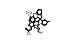 CC1(C)/C(=C(/C#N)C2=[N+](CCC(=O)O)c3ccc(Cl)cc3C2(Cc2ccccc2)Cc2ccccc2C(=O)O)N(CCOC=O)c2ccc(C(F)(F)F)cc21